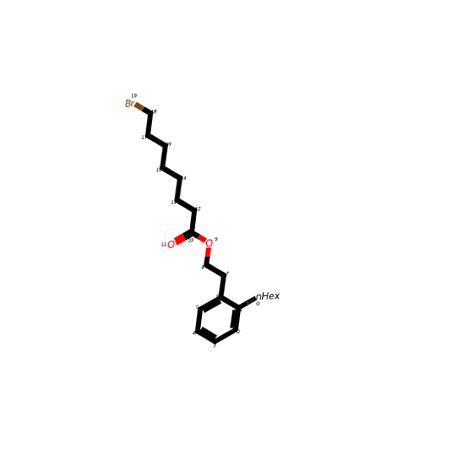 CCCCCCc1ccccc1CCOC(=O)CCCCCCCBr